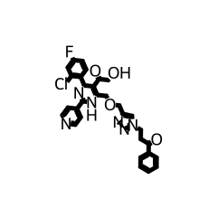 O=C(CO)C1=C(COCc2cn(CCC(=O)c3ccccc3)nn2)NC(c2ccncc2)=NC1c1ccc(F)cc1Cl